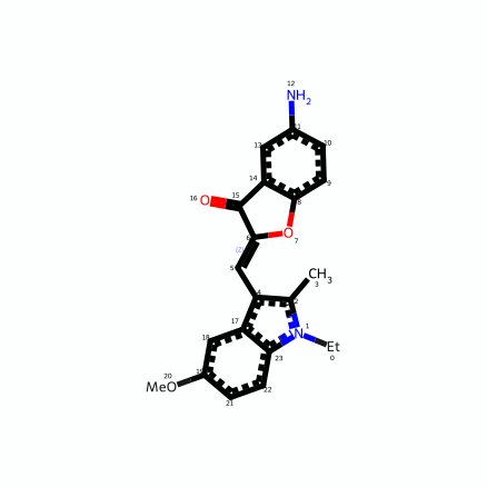 CCn1c(C)c(/C=C2\Oc3ccc(N)cc3C2=O)c2cc(OC)ccc21